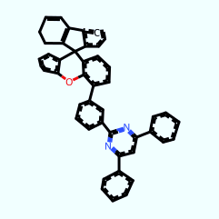 C1=CC2=C(CC1)C1(c3ccccc3Oc3c(-c4cccc(-c5nc(-c6ccccc6)cc(-c6ccccc6)n5)c4)cccc31)c1ccccc12